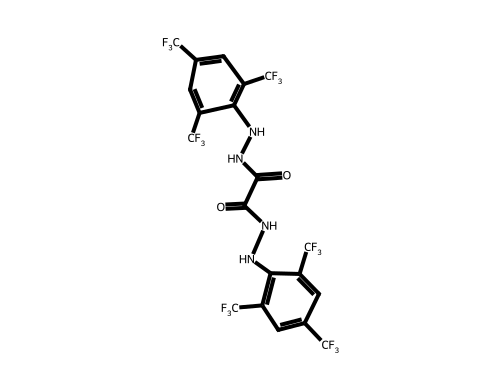 O=C(NNc1c(C(F)(F)F)cc(C(F)(F)F)cc1C(F)(F)F)C(=O)NNc1c(C(F)(F)F)cc(C(F)(F)F)cc1C(F)(F)F